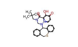 CC(C)(C)CN1CN(C2c3ccccc3CSc3ccccc32)n2ccc(=O)c(O)c2C1=O